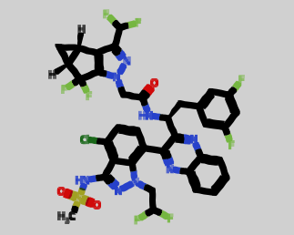 CS(=O)(=O)Nc1nn(CC(F)F)c2c(-c3nc4ccccc4nc3[C@H](Cc3cc(F)cc(F)c3)NC(=O)Cn3nc(C(F)F)c4c3C(F)(F)[C@@H]3C[C@H]43)ccc(Cl)c12